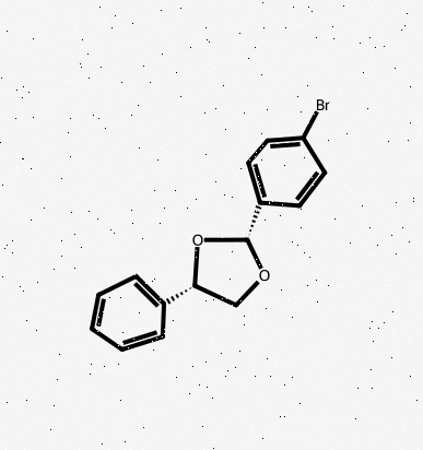 Brc1ccc([C@@H]2OC[C@H](c3ccccc3)O2)cc1